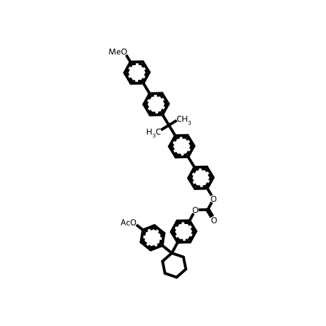 COc1ccc(-c2ccc(C(C)(C)c3ccc(-c4ccc(OC(=O)Oc5ccc(C6(c7ccc(OC(C)=O)cc7)CCCCC6)cc5)cc4)cc3)cc2)cc1